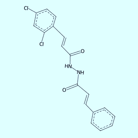 O=C(C=Cc1ccccc1)NNC(=O)/C=C/c1ccc(Cl)cc1Cl